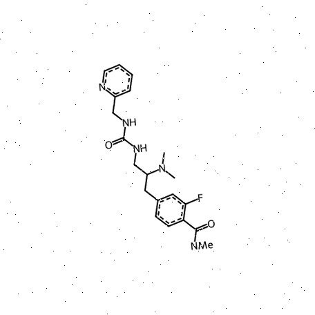 CNC(=O)c1ccc(CC(CNC(=O)NCc2ccccn2)N(C)C)cc1F